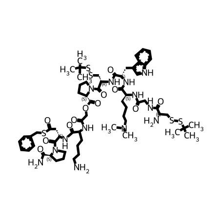 CN(C)CCCC[C@H](NC(=O)CNC(=O)[C@@H](N)CSSC(C)(C)C)C(=O)N[C@@H](Cc1c[nH]c2ccccc12)C(=O)N[C@@H](CSSC(C)(C)C)C(=O)N1CCC[C@H]1C(=O)OCC(=O)NC(CCCCN)C(=O)N[C@@H](CC(=O)SCc1ccccc1)C(=O)N1CCC[C@H]1C(N)=O